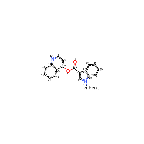 CCCCCn1cc(C(=O)Oc2ccnc3ccccc23)c2ccccc21